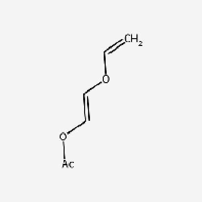 C=COC=COC(C)=O